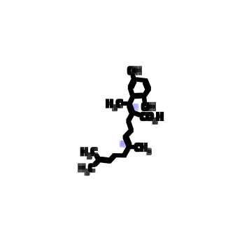 CC(C)=CCC/C(C)=C/CC/C(C(=O)O)=C(\C)c1cc(O)ccc1O